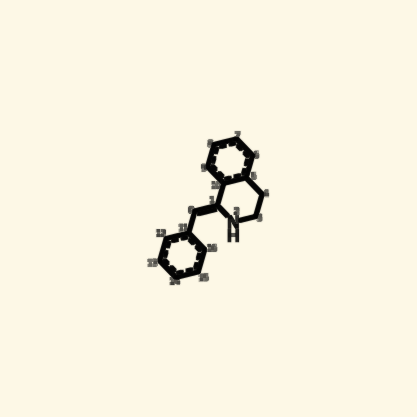 C(=C1/NCCc2ccccc21)/c1ccccc1